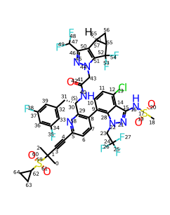 CC(C)(C#Cc1ccc(-c2ccc(Cl)c3c(NS(C)(=O)=O)nn(CC(F)(F)F)c23)c([C@H](Cc2cc(F)cc(F)c2)NC(=O)Cn2nc(C(F)F)c3c2C(F)(F)C2C[C@H]32)n1)S(=O)(=O)C1CC1